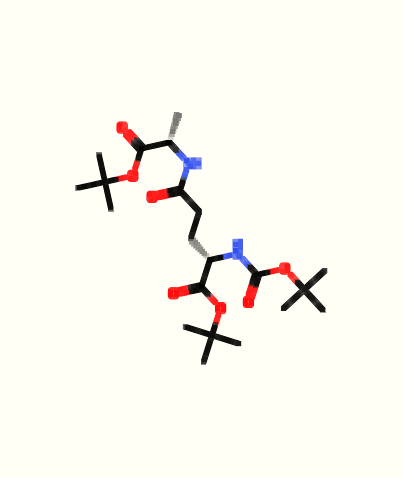 C[C@H](NC(=O)CC[C@H](NC(=O)OC(C)(C)C)C(=O)OC(C)(C)C)C(=O)OC(C)(C)C